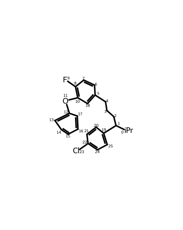 CC(C)C(CCCc1ccc(F)c(Oc2ccccc2)c1)c1ccc(Cl)cc1